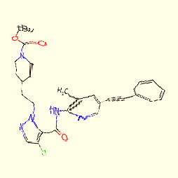 Cc1cc(C#Cc2ccccc2)cnc1NC(=O)c1c(Cl)cnn1CCC1CCN(C(=O)OC(C)(C)C)CC1